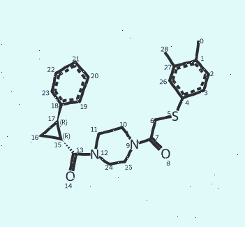 Cc1ccc(SCC(=O)N2CCN(C(=O)[C@@H]3C[C@H]3c3ccccc3)CC2)cc1C